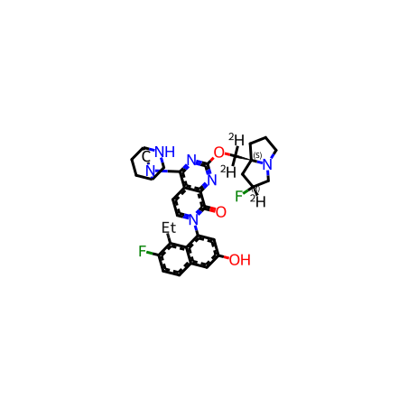 [2H]C([2H])(Oc1nc(N2CC3CCC2CN3)c2ccn(-c3cc(O)cc4ccc(F)c(CC)c34)c(=O)c2n1)[C@@]12CCCN1C[C@]([2H])(F)C2